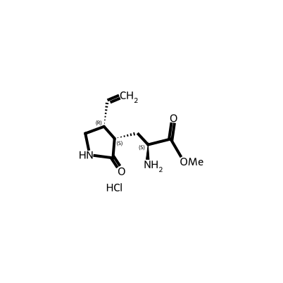 C=C[C@H]1CNC(=O)[C@H]1C[C@H](N)C(=O)OC.Cl